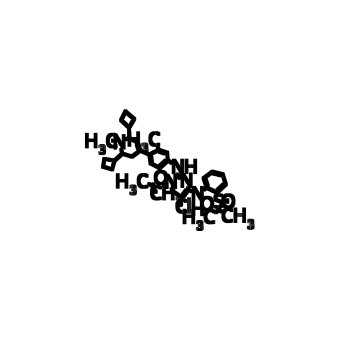 Cc1cc(Nc2ncc(Cl)c(Nc3ccccc3S(=O)(=O)C(C)C)n2)c(OC(C)C)cc1C1=CC(C2CCC2)N(C)C(C2CCC2)C1